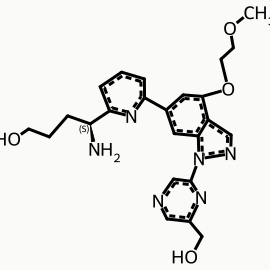 COCCOc1cc(-c2cccc([C@@H](N)CCCO)n2)cc2c1cnn2-c1cncc(CO)n1